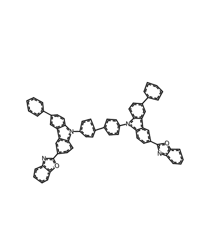 c1ccc(-c2ccc3c(c2)c2cc(-c4nc5ccccc5o4)ccc2n3-c2ccc(-c3ccc(-n4c5ccc(-c6ccccc6)cc5c5cc(-c6nc7ccccc7o6)ccc54)cc3)cc2)cc1